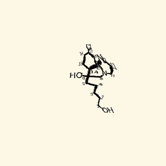 OCCCCCC(O)(Cn1ccnc1)c1ccc(Cl)cc1